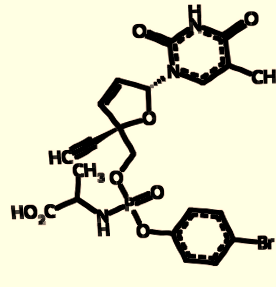 C#C[C@@]1(COP(=O)(NC(C)C(=O)O)Oc2ccc(Br)cc2)C=C[C@H](n2cc(C)c(=O)[nH]c2=O)O1